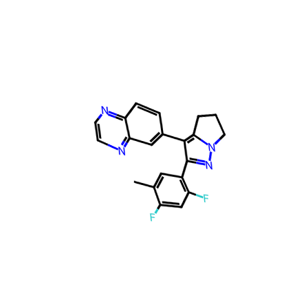 Cc1cc(-c2nn3c(c2-c2ccc4nccnc4c2)CCC3)c(F)cc1F